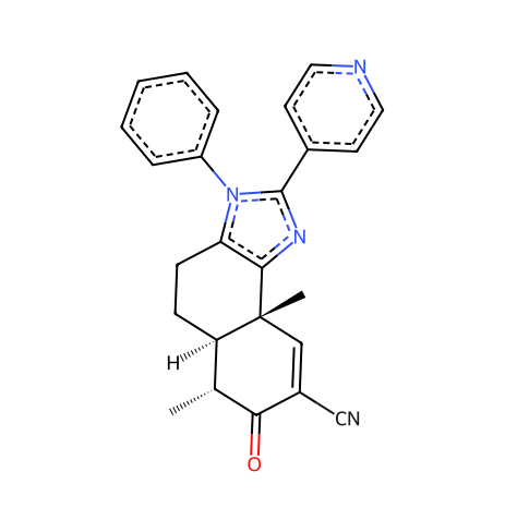 C[C@H]1C(=O)C(C#N)=C[C@@]2(C)c3nc(-c4ccncc4)n(-c4ccccc4)c3CC[C@H]12